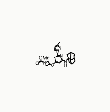 COC(=O)N1CC(Oc2cc(NC34CC5CC(CC(C5)C3)C4)nc(-n3ccc(C)n3)n2)C1